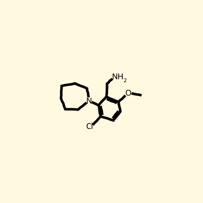 COc1ccc(Cl)c(N2CCCCCC2)c1CN